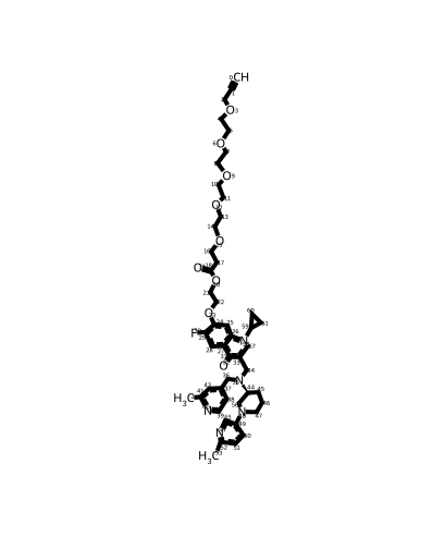 C#CCOCCOCCOCCOCCOCCC(=O)OCCOc1cc2c(cc1F)c(=O)c(CN(Cc1ccnc(C)c1)[C@H]1CCCN(c3ccc(C)nc3)C1)cn2C1CC1